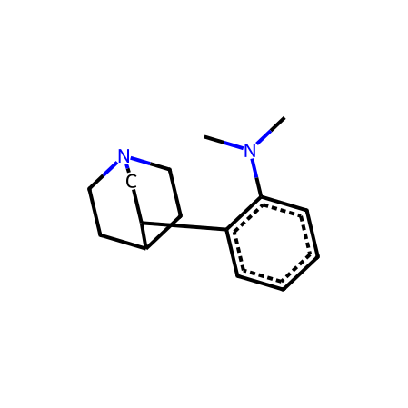 CN(C)c1ccccc1C1CN2CCC1CC2